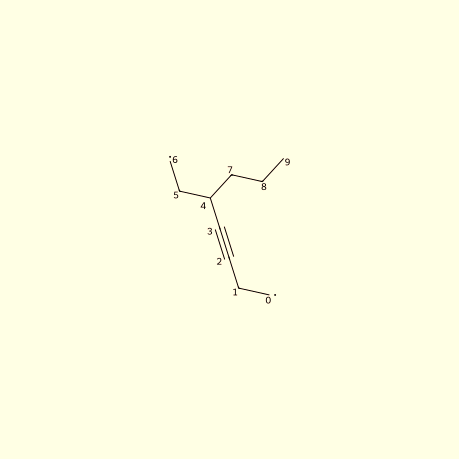 [CH2]CC#CC(C[CH2])CCC